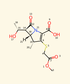 COC(=O)CSC1=C(C(=O)O)N2C(=O)[C@H]([C@@H](C)O)[C@H]2[C@H]1C